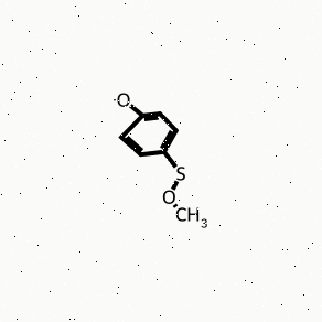 COSc1ccc([O])cc1